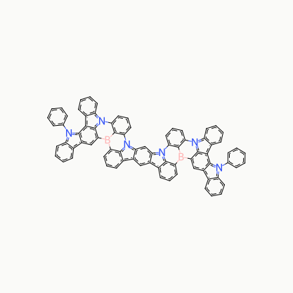 c1ccc(-n2c3ccccc3c3cc4c5c(c6ccccc6n5-c5cccc6c5B4c4cccc5c7cc8c9cccc%10c9n(c8cc7n-6c45)-c4cccc5c4B%10c4cc6c7ccccc7n(-c7ccccc7)c6c6c7ccccc7n-5c46)c32)cc1